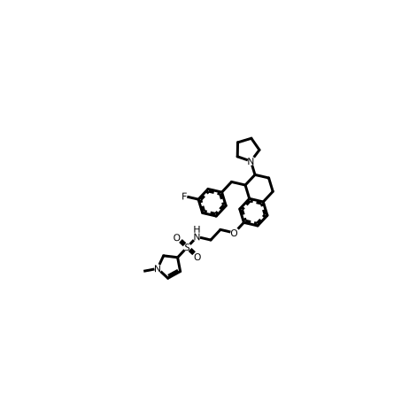 CN1C=CC(S(=O)(=O)NCCOc2ccc3c(c2)C(Cc2cccc(F)c2)C(N2CCCC2)CC3)C1